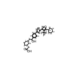 O=C(O)C[C@H]1CCCN(C[C@H](O)c2ccc(-c3noc(-c4noc(C5CCCCC5)c4C(F)(F)F)n3)cc2)C1